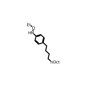 CCCCCCCCCCCCc1ccc(NOCC)cc1